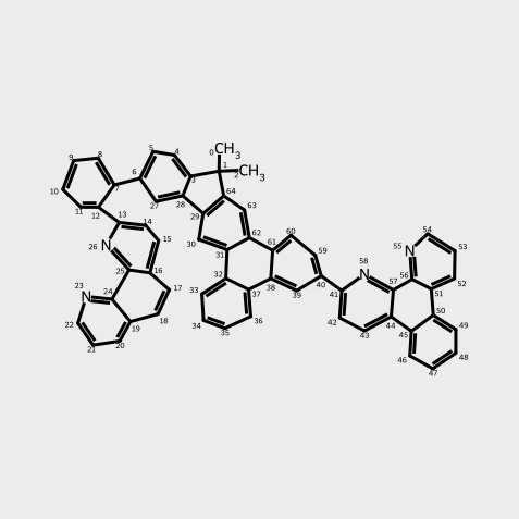 CC1(C)c2ccc(-c3ccccc3-c3ccc4ccc5cccnc5c4n3)cc2-c2cc3c4ccccc4c4cc(-c5ccc6c7ccccc7c7cccnc7c6n5)ccc4c3cc21